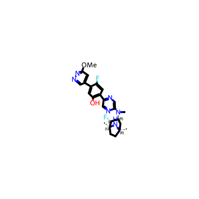 COc1cc(-c2cc(O)c(-c3cnc(N(C)[C@@H]4C[C@@]5(C)CC[C@](C)(N5)[C@@H]4F)cn3)cc2F)cnn1